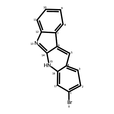 Brc1ccc2cc3c4ccccc4nc-3[nH]c2c1